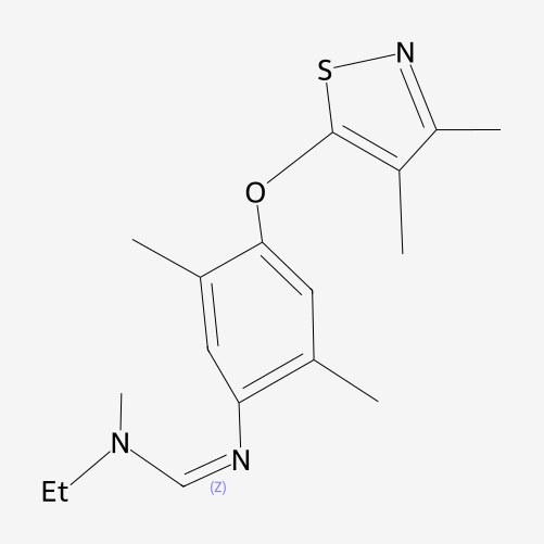 CCN(C)/C=N\c1cc(C)c(Oc2snc(C)c2C)cc1C